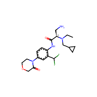 CCN(CC1CC1)[C@H](CN)C(=O)Nc1ccc(N2CCOCC2=O)cc1C(F)F